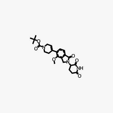 COc1c(C2=CCN(C(=O)OC(C)(C)C)CC2)ccc2c1CN(C1CCC(=O)NC1=O)C2=O